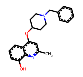 Cc1cc(OC2CCN(Cc3ccccc3)CC2)c2cccc(O)c2n1